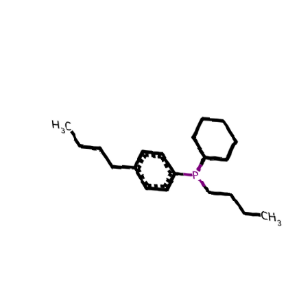 CCCCc1ccc(P(CCCC)C2CCCCC2)cc1